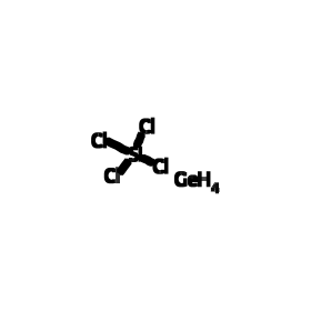 Cl[Si](Cl)(Cl)Cl.[GeH4]